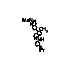 CNc1ncc2cc(-c3c(C)ccc4c(Nc5cccc(OC(C)C)c5)nccc34)ccc2n1